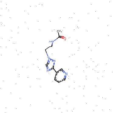 CC(=O)NCCn1cnc(-c2cccnc2)n1